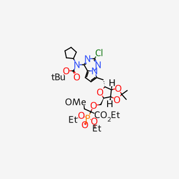 CCOC(=O)C(COC)(OC[C@H]1O[C@H](Cc2ccc3c(N(C(=O)OC(C)(C)C)C4CCCC4)nc(Cl)nn23)[C@@H]2OC(C)(C)O[C@@H]21)P(=O)(OCC)OCC